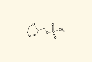 CS(=O)(=O)OCC1C=CCCO1